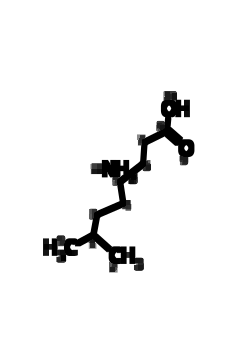 CC(C)CCCCCC(=O)O.N